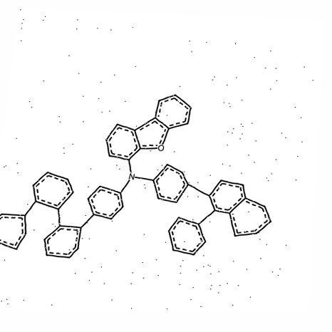 c1ccc(-c2ccccc2-c2ccccc2-c2ccc(N(c3ccc(-c4ccc5ccccc5c4-c4ccccc4)cc3)c3cccc4c3oc3ccccc34)cc2)cc1